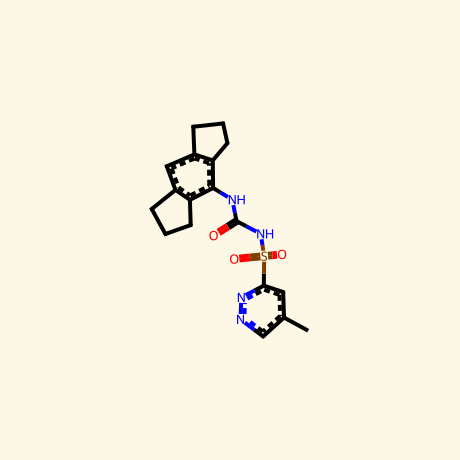 Cc1cnnc(S(=O)(=O)NC(=O)Nc2c3c(cc4c2CCC4)CCC3)c1